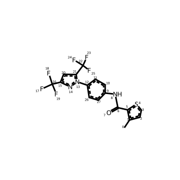 Cc1ccsc1C(=O)Nc1ccc(-n2nc(C(F)(F)F)cc2C(F)(F)F)cc1